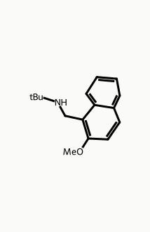 COc1ccc2ccccc2c1CNC(C)(C)C